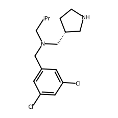 CC(C)CN(Cc1cc(Cl)cc(Cl)c1)C[C@@H]1CCNC1